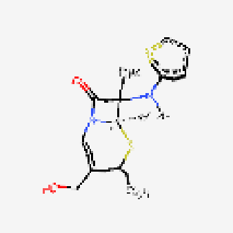 COC1(N(C(C)=O)c2cccs2)C(=O)N2C=C(CO)C(C(=O)O)S[C@@H]21